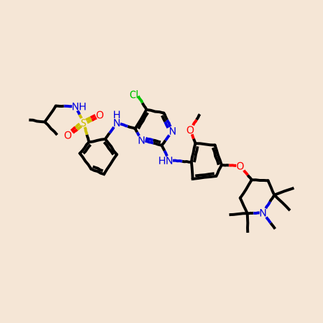 COc1cc(OC2CC(C)(C)N(C)C(C)(C)C2)ccc1Nc1ncc(Cl)c(Nc2ccccc2S(=O)(=O)NCC(C)C)n1